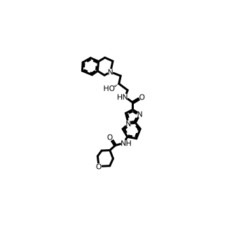 O=C(NC[C@H](O)CN1CCc2ccccc2C1)c1cn2cc(NC(=O)C3CCOCC3)ccc2n1